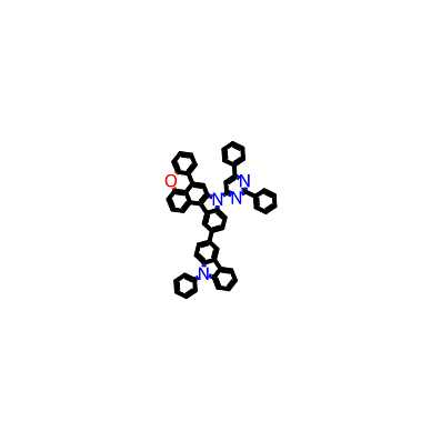 c1ccc(-c2cc(-n3c4ccc(-c5ccc6c(c5)c5ccccc5n6-c5ccccc5)cc4c4c5cccc6c5c(cc43)-c3ccccc3O6)nc(-c3ccccc3)n2)cc1